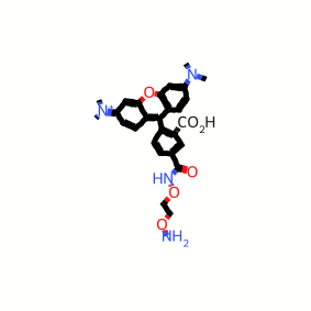 CN(C)c1ccc2c(-c3ccc(C(=O)NOCCON)cc3C(=O)O)c3ccc(=[N+](C)C)cc-3oc2c1